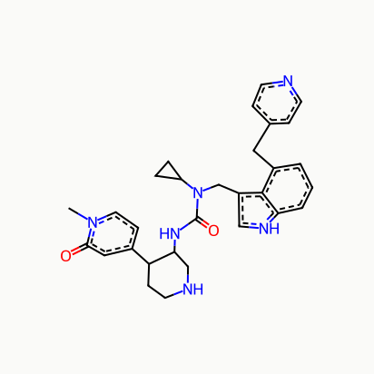 Cn1ccc(C2CCNCC2NC(=O)N(Cc2c[nH]c3cccc(Cc4ccncc4)c23)C2CC2)cc1=O